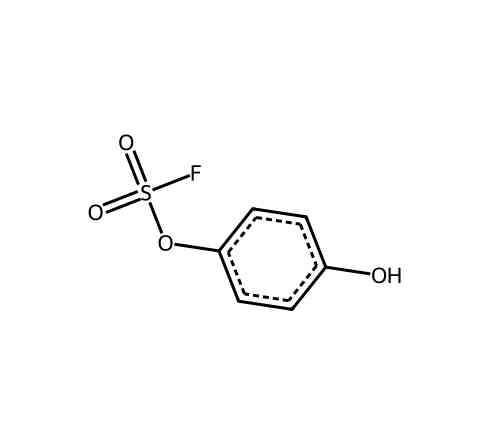 O=S(=O)(F)Oc1ccc(O)cc1